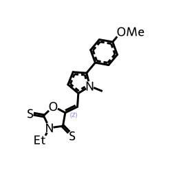 CCN1C(=S)O/C(=C\c2ccc(-c3ccc(OC)cc3)n2C)C1=S